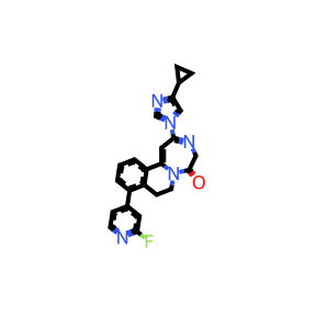 O=C1CN=C(n2cnc(C3CC3)c2)C=C2c3cccc(-c4ccnc(F)c4)c3CCN12